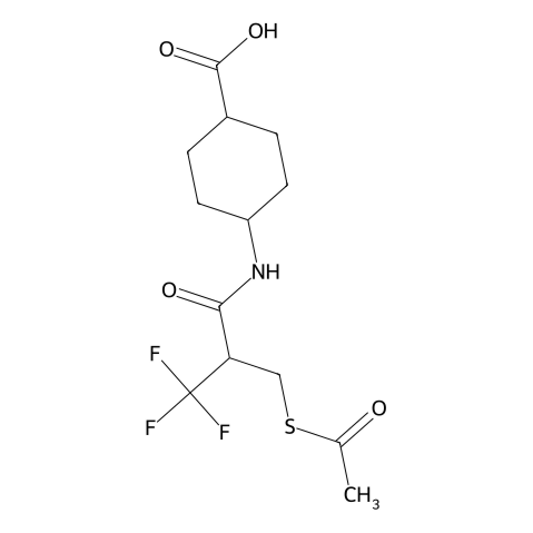 CC(=O)SCC(C(=O)NC1CCC(C(=O)O)CC1)C(F)(F)F